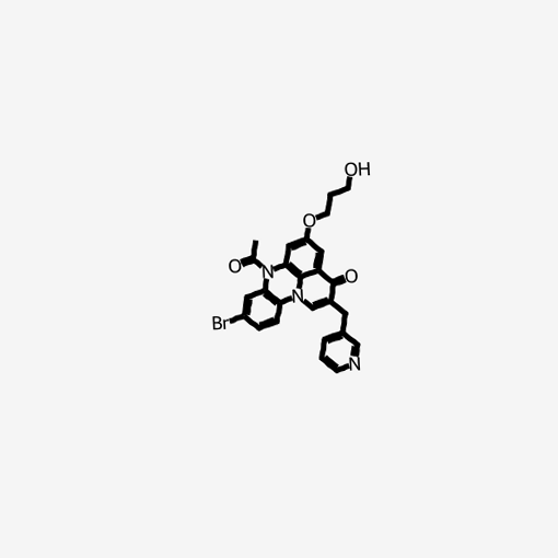 CC(=O)N1c2cc(Br)ccc2-n2cc(Cc3cccnc3)c(=O)c3cc(OCCCO)cc1c32